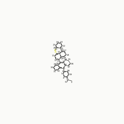 CC(C)c1ccc(-c2c3c(c(-c4ccc5c6c(cccc46)-c4ccccc4S5)c4ccccc24)CCC=C3)cc1